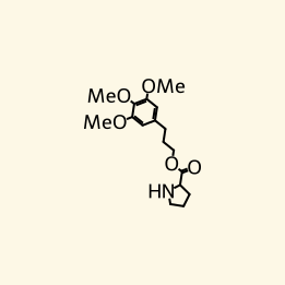 COc1cc(CCCOC(=O)C2CCCN2)cc(OC)c1OC